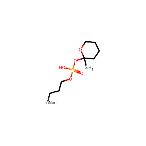 CCCCCCCCCCCCOP(=O)(O)OC1([SiH3])CCCCO1